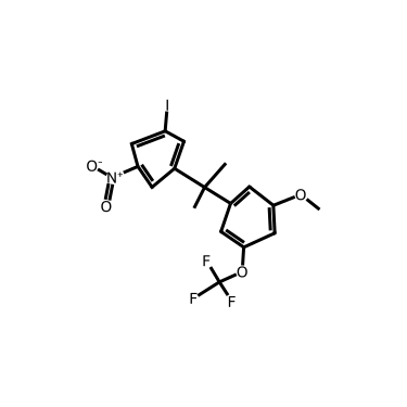 COc1cc(OC(F)(F)F)cc(C(C)(C)c2cc(I)cc([N+](=O)[O-])c2)c1